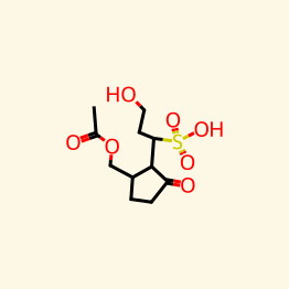 CC(=O)OCC1CCC(=O)C1C(CCO)S(=O)(=O)O